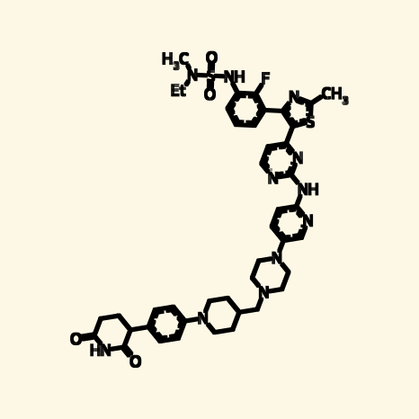 CCN(C)S(=O)(=O)Nc1cccc(-c2nc(C)sc2-c2ccnc(Nc3ccc(N4CCN(CC5CCN(c6ccc(C7CCC(=O)NC7=O)cc6)CC5)CC4)cn3)n2)c1F